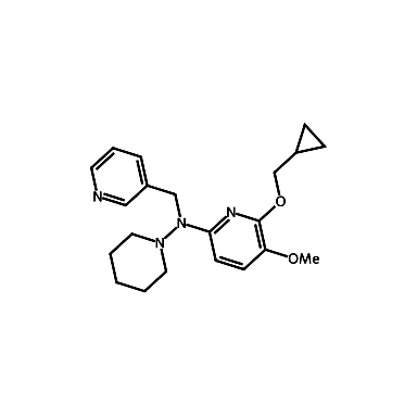 COc1ccc(N(Cc2cccnc2)N2CCCCC2)nc1OCC1CC1